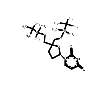 CC(C)(C)[Si](C)(C)OCC1(CO[Si](C)(C)C(C)(C)C)CC[C@H](n2ccc(=O)[nH]c2=O)O1